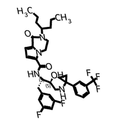 CCCC(CCC)N1CCn2c(C(=O)N[C@@H](Cc3cc(F)cc(F)c3)[C@@H](O)CNC3(c4cccc(C(F)(F)F)c4)CC3)ccc2C1=O